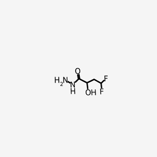 NNC(=O)C(O)CC(F)F